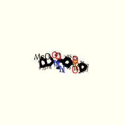 COC(=O)C(CC1CCCCC1)n1cnc2cc(S(=O)(=O)C3CCCC3)ccc2c1=O